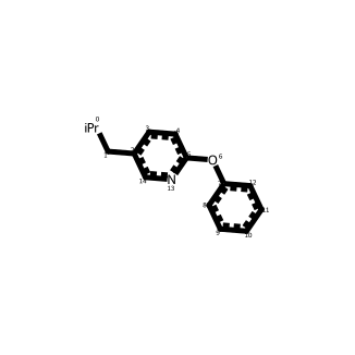 CC(C)Cc1ccc(Oc2ccccc2)nc1